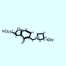 CCCCCCCCc1cc2c(F)c(CN3CC[C@H](O)C3)ccc2o1